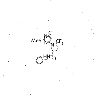 CSc1nc(Cl)cc(N2CC(C(=O)NCc3ccccc3)CCC2C(F)(F)F)n1